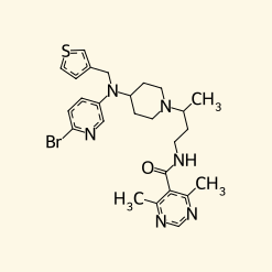 Cc1ncnc(C)c1C(=O)NCCC(C)N1CCC(N(Cc2ccsc2)c2ccc(Br)nc2)CC1